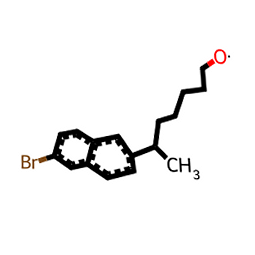 CC(CCCCC[O])c1ccc2cc(Br)ccc2c1